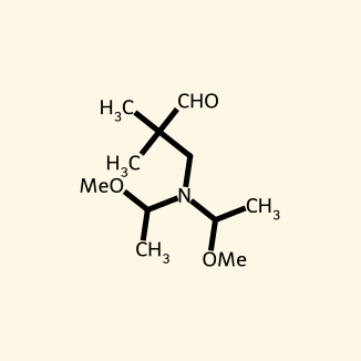 COC(C)N(CC(C)(C)C=O)C(C)OC